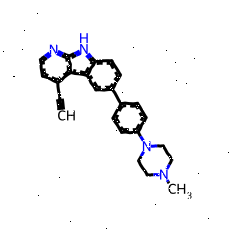 C#Cc1ccnc2[nH]c3ccc(-c4ccc(N5CCN(C)CC5)cc4)cc3c12